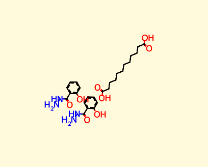 NNC(=O)c1ccccc1O.NNC(=O)c1ccccc1O.O=C(O)CCCCCCCCCCC(=O)O